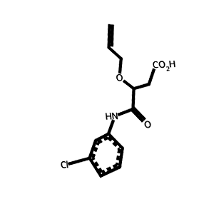 C=CCOC(CC(=O)O)C(=O)Nc1cccc(Cl)c1